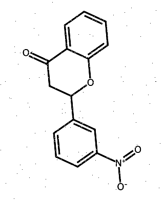 O=C1CC(c2cccc([N+](=O)[O-])c2)Oc2ccccc21